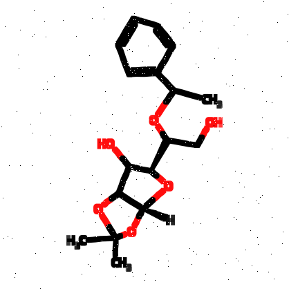 CC(OC(CO)[C@H]1O[C@@H]2OC(C)(C)OC2C1O)c1ccccc1